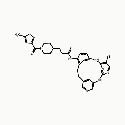 Cc1cc(C(=O)N2CCC(CCC(=O)Nc3ccc4cc3CCc3cncc(c3)Nc3ncc(Cl)c(n3)N4)CC2)no1